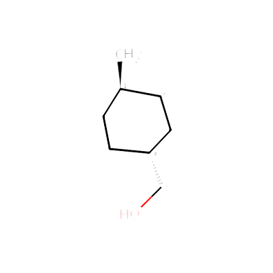 [CH2][C@H]1CC[C@H](CO)CC1